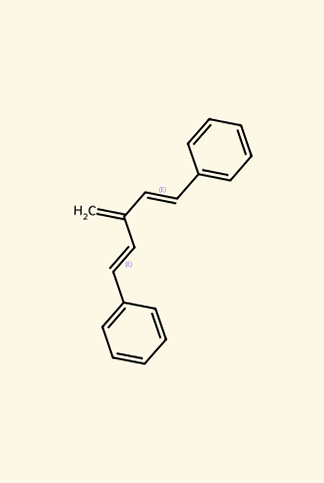 C=C(/C=C/c1ccccc1)/C=C/c1ccccc1